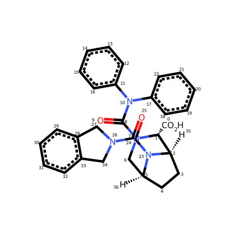 O=C(O)[C@@H]1[C@H]2CC[C@@H](CN1C(=O)N(c1ccccc1)c1ccccc1)N2C(=O)N1Cc2ccccc2C1